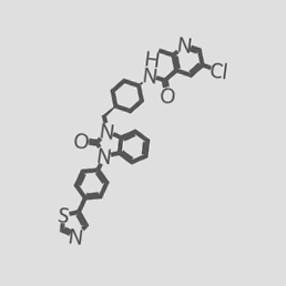 Cc1ncc(Cl)cc1C(=O)N[C@H]1CC[C@H](Cn2c(=O)n(-c3ccc(-c4cncs4)cc3)c3ccccc32)CC1